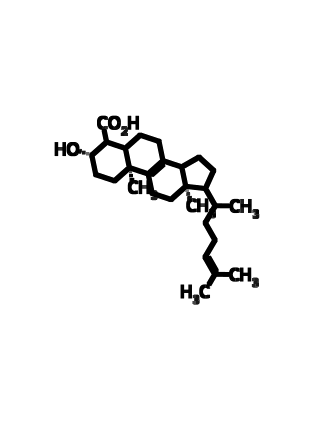 CC(C)=CCCC(C)C1CCC2C3=C(CC[C@@]21C)[C@@]1(C)CC[C@H](O)C(C(=O)O)C1CC3